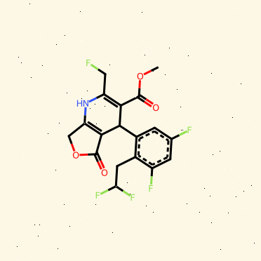 COC(=O)C1=C(CF)NC2=C(C(=O)OC2)C1c1cc(F)cc(F)c1CC(F)F